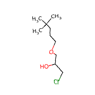 CC(C)(C)CCCOCC(O)CCl